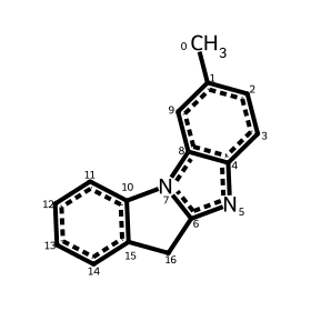 Cc1ccc2nc3n(c2c1)-c1ccccc1C3